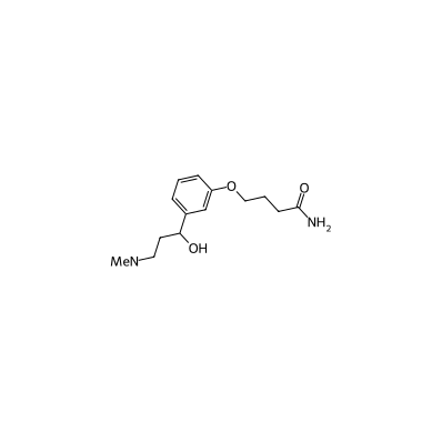 CNCCC(O)c1cccc(OCCCC(N)=O)c1